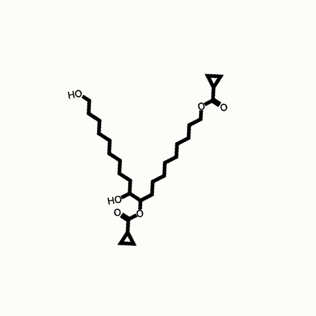 O=C(OCCCCCCCCCC(OC(=O)C1CC1)C(O)CCCCCCCCCO)C1CC1